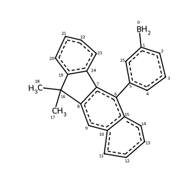 Bc1cccc(-c2c3c(cc4ccccc24)C(C)(C)c2ccccc2-3)c1